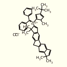 CC1C=C(C(C)(C)C)C=[C]1[Zr+2]([C]1=Cc2cc3c(cc2C1(C)C)Cc1cc2c(cc1-3)C=CC2(C)C)=[C](c1ccccc1)c1ccccc1.[Cl-].[Cl-]